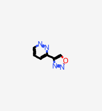 c1cnnc(-c2conn2)c1